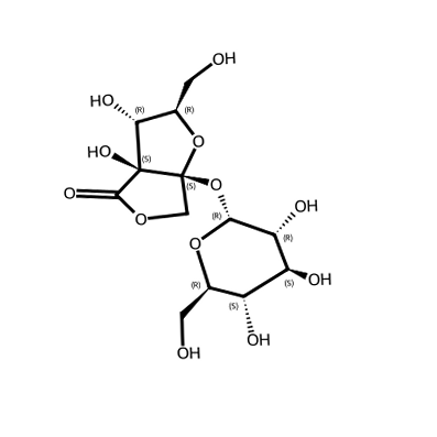 O=C1OC[C@@]2(O[C@H]3O[C@H](CO)[C@@H](O)[C@H](O)[C@H]3O)O[C@H](CO)[C@@H](O)[C@@]12O